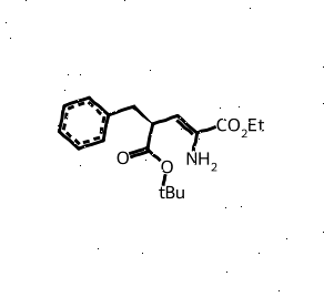 CCOC(=O)C(N)=C[C@H](Cc1ccccc1)C(=O)OC(C)(C)C